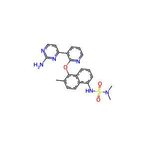 Cc1ccc2c(NS(=O)(=O)N(C)C)cccc2c1Oc1ncccc1-c1ccnc(N)n1